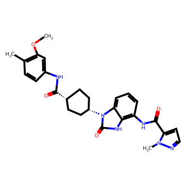 COc1cc(NC(=O)[C@H]2CC[C@@H](n3c(=O)[nH]c4c(NC(=O)c5ccnn5C)cccc43)CC2)ccc1C